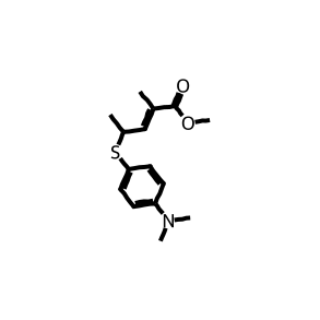 COC(=O)/C(C)=C/C(C)Sc1ccc(N(C)C)cc1